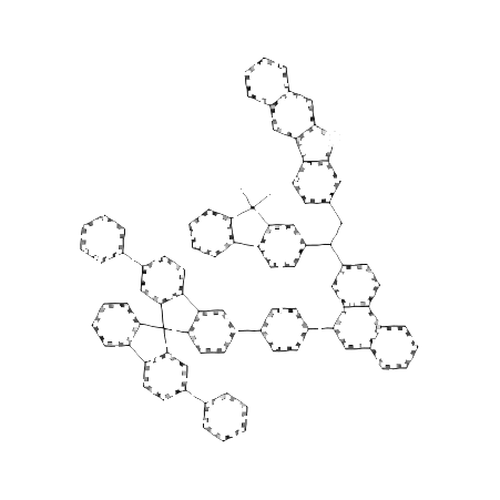 CC1(C)c2ccccc2-c2ccc(C(Cc3ccc4c(c3)oc3cc5ccccc5cc34)c3ccc4c(c3)c(-c3ccc(-c5ccc6c(c5)-c5ccc(-c7ccccc7)cc5C65c6ccccc6-c6ccc(-c7ccccc7)cc65)cc3)cc3ccccc34)cc21